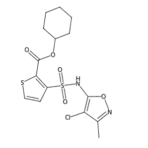 Cc1noc(NS(=O)(=O)c2ccsc2C(=O)OC2CCCCC2)c1Cl